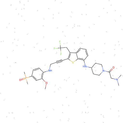 COc1cc(P(C)(C)=O)ccc1NCC#Cc1sc2c(NC3CCN(C(=O)CN(C)C)CC3)cccc2c1CC(F)(F)F